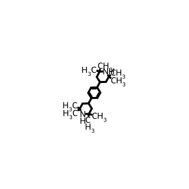 CC1(C)CC(c2ccc(C3CC(C)(C)NC(C)(C)C3)cc2)CC(C)(C)N1